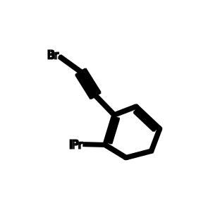 CC(C)C1=C(C#CBr)C=CCC1